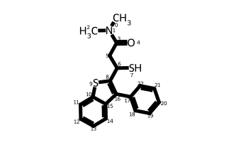 CN(C)C(=O)CC(S)c1sc2ccccc2c1-c1ccccc1